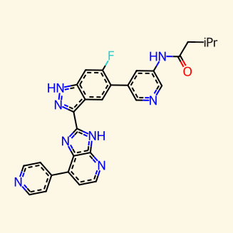 CC(C)CC(=O)Nc1cncc(-c2cc3c(-c4nc5c(-c6ccncc6)ccnc5[nH]4)n[nH]c3cc2F)c1